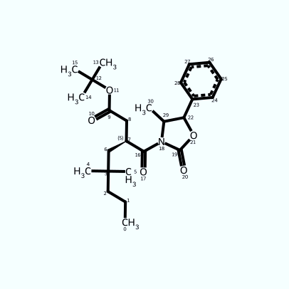 CCCC(C)(C)C[C@@H](CC(=O)OC(C)(C)C)C(=O)N1C(=O)OC(c2ccccc2)C1C